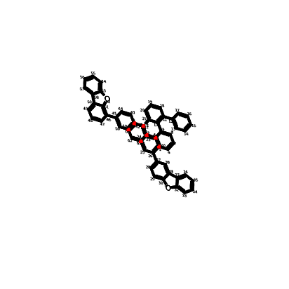 c1ccc(-c2ccccc2-c2c(-c3ccccc3)cccc2N(c2ccc(-c3ccc4oc5ccccc5c4c3)cc2)c2ccc(-c3cccc4c3oc3ccccc34)cc2)cc1